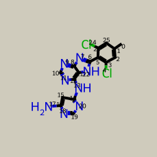 Cc1cc(Cl)c(-c2nc3ncnc(Nc4cc(N)ncn4)c3[nH]2)c(Cl)c1